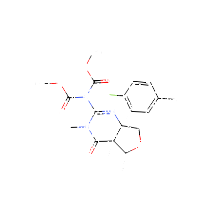 C[C@H]1OC[C@]2(c3cc([N+](=O)[O-])ccc3F)N=C(N(C(=O)OC(C)(C)C)C(=O)OC(C)(C)C)N(C)C(=O)[C@H]12